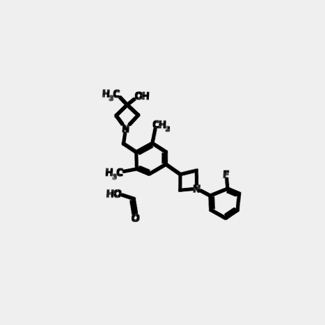 Cc1cc(C2CN(c3ccccc3F)C2)cc(C)c1CN1CC(C)(O)C1.O=CO